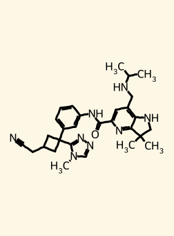 CC(C)NCc1cc(C(=O)Nc2cccc(C3(c4nncn4C)CC(CC#N)C3)c2)nc2c1NCC2(C)C